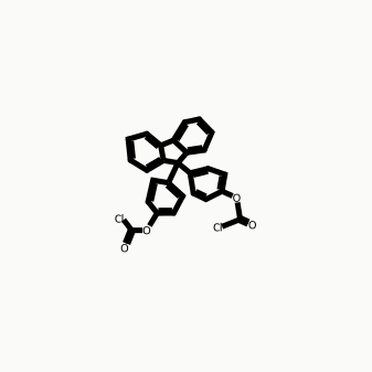 O=C(Cl)Oc1ccc(C2(c3ccc(OC(=O)Cl)cc3)c3ccccc3-c3ccccc32)cc1